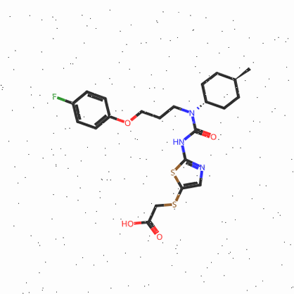 C[C@H]1CC[C@H](N(CCCOc2ccc(F)cc2)C(=O)Nc2ncc(SCC(=O)O)s2)CC1